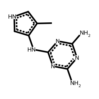 Cc1c[nH]cc1Nc1nc(N)nc(N)n1